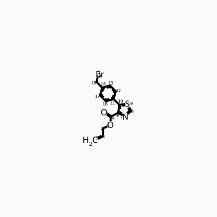 C=CCOC(=O)c1ncsc1-c1ccc(CBr)cc1